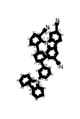 N#Cc1ccc2c(c1)c1ccc(C#N)cc1n2-c1c(C#N)cccc1-c1ccc(-c2cccc(-n3c4ccccc4c4ccccc43)c2)cc1